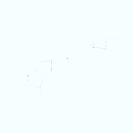 CC1OC(=O)C2CC(OC(=O)COC(=O)C(F)(C(F)(F)F)S(=O)(=O)O)CC12